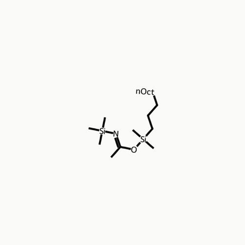 CCCCCCCCCCC[Si](C)(C)OC(C)=N[Si](C)(C)C